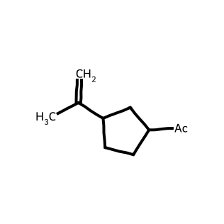 C=C(C)C1CCC(C(C)=O)C1